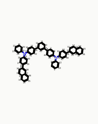 c1ccc(N(c2ccc(-c3cccc(-c4ccc(N(c5ccccc5)c5ccc(-c6ccc7ccccc7c6)cc5)cc4)c3)cc2)c2ccc(-c3ccc4ccccc4c3)cc2)cc1